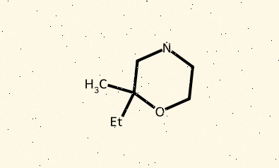 CCC1(C)C[N]CCO1